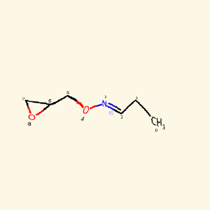 CC/C=N/OCC1CO1